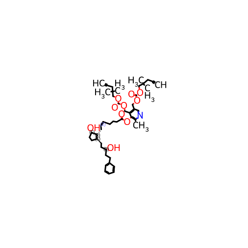 C#CCC(C)(C)COC(=O)OCc1cnc(C)c(OC(=O)CCC/C=C\C[C@@H]2[C@@H](CC[C@@H](O)CCc3ccccc3)CC[C@@H]2O)c1COC(=O)OCC(C)(C)CC#C